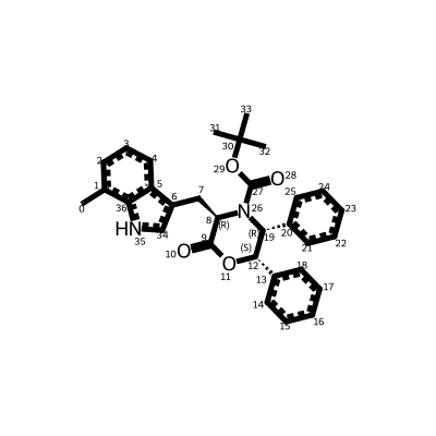 Cc1cccc2c(C[C@@H]3C(=O)O[C@@H](c4ccccc4)[C@@H](c4ccccc4)N3C(=O)OC(C)(C)C)c[nH]c12